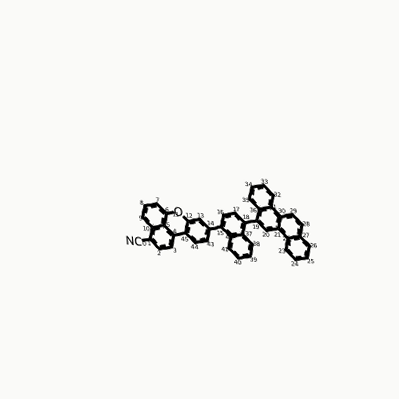 N#Cc1ccc2c3c(cccc13)Oc1cc(-c3ccc(-c4cc5c6ccccc6ccc5c5ccccc45)c4ccccc34)ccc1-2